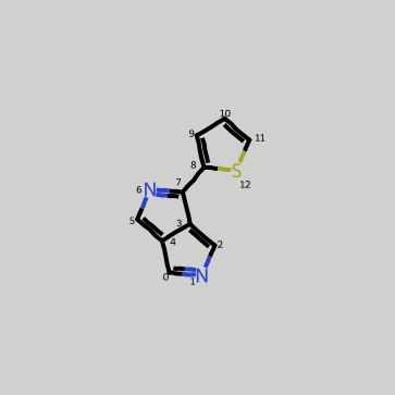 C1=NC=C2C1=CN=C2c1cccs1